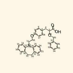 O=C(O)C(Cc1ccc(OCCN2c3ccccc3CCc3ccccc32)cc1)OCc1ccccc1